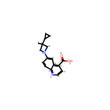 CC1(C2CC2)CN(c2ccc3nccc(C(=O)O)c3c2)C1